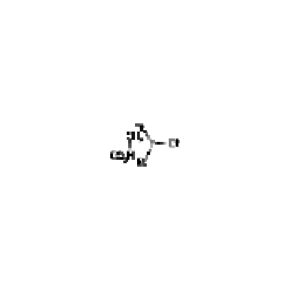 CC(=O)O.CCP(CC)CC